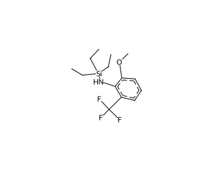 CC[Si](CC)(CC)Nc1c(OC)cccc1C(F)(F)F